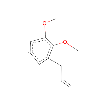 C=CCc1c[c]cc(OC)c1OC